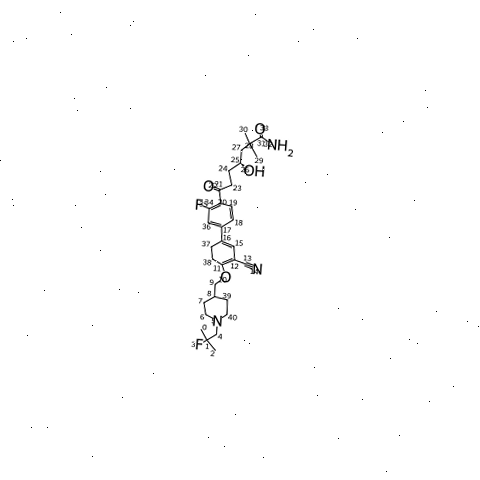 CC(C)(F)CN1CCC(COC2=C(C#N)C=C(c3ccc(C(=O)CC[C@H](O)CC(C)(C)C(N)=O)c(F)c3)CC2)CC1